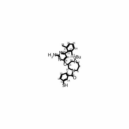 CCCCN1CCCN(C(=O)c2cccc(S)c2)CC(Oc2cc(-c3c(C)cccc3C)nc(N)n2)C1